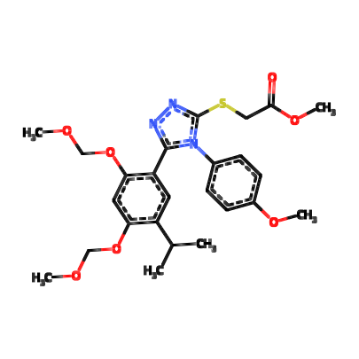 COCOc1cc(OCOC)c(C(C)C)cc1-c1nnc(SCC(=O)OC)n1-c1ccc(OC)cc1